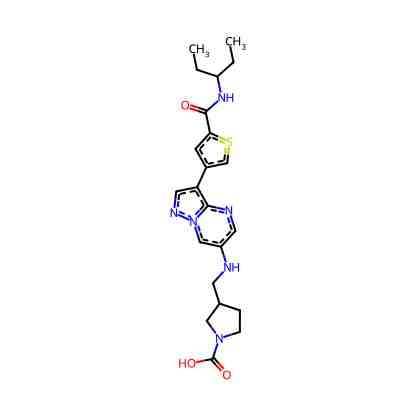 CCC(CC)NC(=O)c1cc(-c2cnn3cc(NCC4CCN(C(=O)O)C4)cnc23)cs1